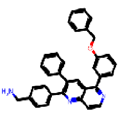 NCc1ccc(-c2nc3ccnc(-c4cccc(OCc5ccccc5)c4)c3cc2-c2ccccc2)cc1